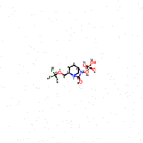 O=C1N2CC(CCC2COC(F)(F)F)N1OS(=O)(=O)O